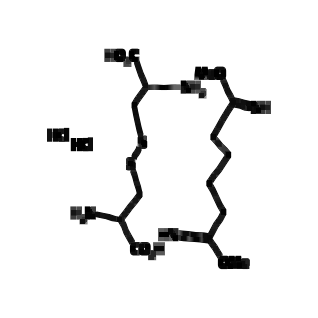 COC(=N)CCCCC(=N)OC.Cl.Cl.NC(CSSCC(N)C(=O)O)C(=O)O